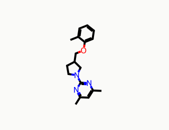 Cc1cc(C)nc(N2CCC(COc3ccccc3C)C2)n1